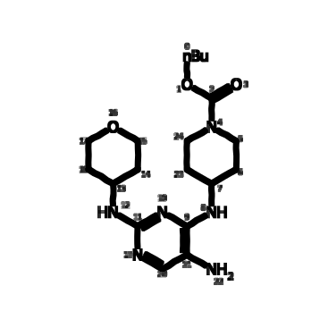 CCCCOC(=O)N1CCC(Nc2nc(NC3CCOCC3)ncc2N)CC1